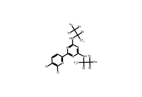 [2H]c1ccc(-c2nc(NC([2H])(C([2H])([2H])[2H])C(F)(F)F)nc(NC([2H])(C([2H])([2H])[2H])C(F)(F)F)n2)nc1Cl